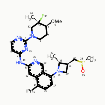 CO[C@H]1CCN(c2nccc(Nc3cc4c(C(C)C)ccc(N5C[C@H](C[S@+](C)[O-])[C@H]5C)c4cn3)n2)C[C@@]1(C)F